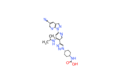 CC(C)Nc1cc(-n2ncc3cc(C#N)cnc32)ncc1-c1cn([C@H]2CC[C@H](NC(=O)O)CC2)nn1